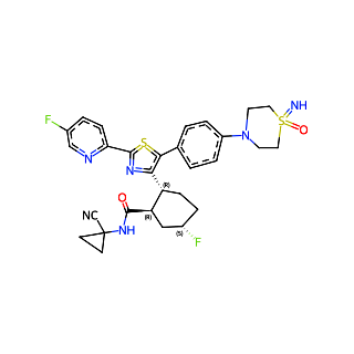 N#CC1(NC(=O)[C@@H]2C[C@@H](F)CC[C@H]2c2nc(-c3ccc(F)cn3)sc2-c2ccc(N3CCS(=N)(=O)CC3)cc2)CC1